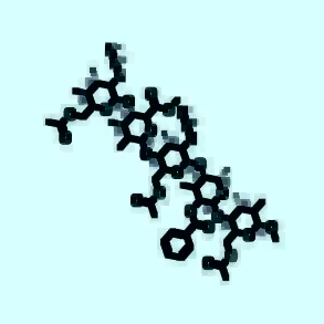 COC(=O)C1O[C@@H](O[C@@H]2C(COC(C)=O)O[C@H](O[C@H]3C(C)C(OC(=O)c4ccccc4)[C@H](O[C@@H]4C(COC(C)=O)O[C@H](OC)C(C)[C@H]4C)O[C@H]3C)C(N=[N+]=[N-])[C@H]2C)C(C)[C@@H](C)[C@@H]1O[C@H]1OC(COC(C)=O)[C@@H](C)[C@H](C)C1N=[N+]=[N-]